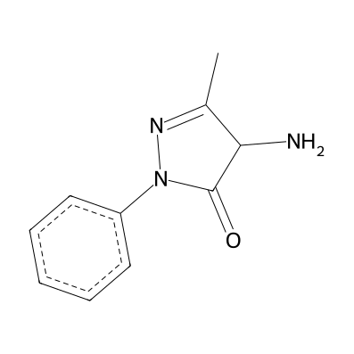 CC1=NN(c2ccccc2)C(=O)C1N